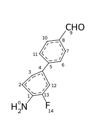 Nc1ccc(-c2ccc(C=O)cc2)cc1F